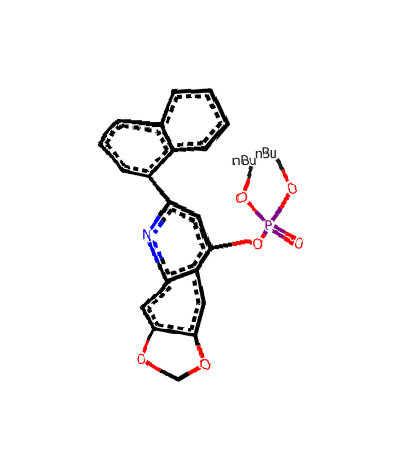 CCCCOP(=O)(OCCCC)Oc1cc(-c2cccc3ccccc23)nc2cc3c(cc12)OCO3